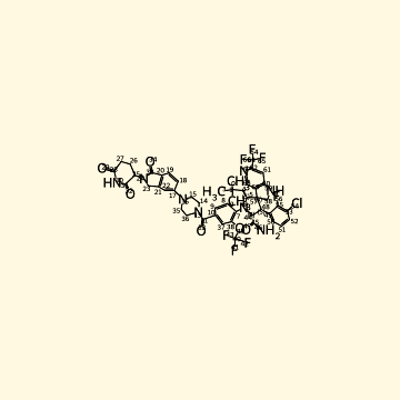 CC(C)(C)C[C@@H]1N(c2ccc(C(=O)N3CCN(c4ccc5c(c4)CN(C4CCC(=O)NC4=O)C5=O)CC3)cc2OC(F)(F)F)[C@@H](C(N)=O)[C@H](c2cccc(Cl)c2F)[C@]12CNc1cc(C(F)(F)F)ncc12